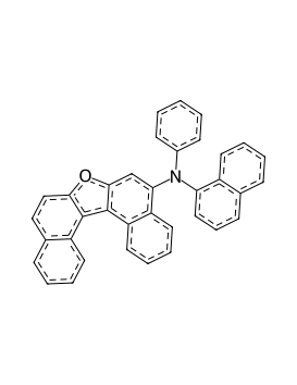 c1ccc(N(c2cccc3ccccc23)c2cc3oc4ccc5ccccc5c4c3c3ccccc23)cc1